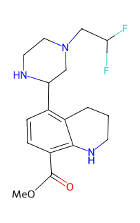 COC(=O)c1ccc(C2CN(CC(F)F)CCN2)c2c1NCCC2